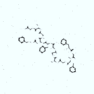 CC(C)C[C@H](NC(=O)CNC(=O)[C@H](Cc1ccccc1)N(C)C(=O)[C@H](C)NC(=O)[C@@H](N)Cc1ccccc1)C(=O)N[C@@H](C)C(=O)N[C@H](C(=O)N[C@@H](Cc1ccccc1)C(=O)N[C@@H](CC(=O)OSCc1ccccc1)C(=O)N(C)[C@@H](C)C(=O)N[C@@H](CO)C(=O)NCC(N)=O)C(C)C